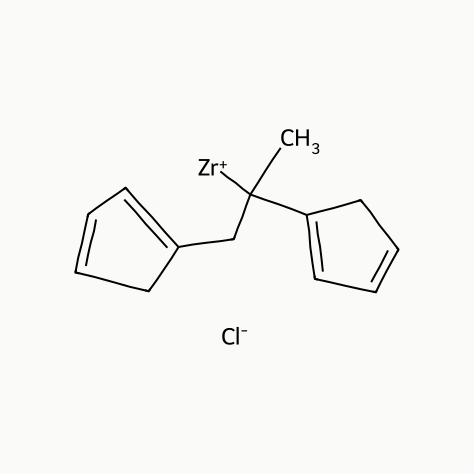 C[C]([Zr+])(CC1=CC=CC1)C1=CC=CC1.[Cl-]